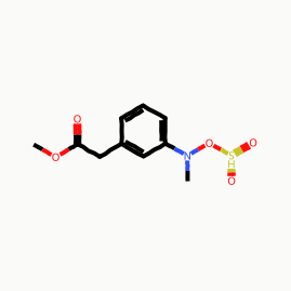 COC(=O)Cc1cccc(N(C)O[SH](=O)=O)c1